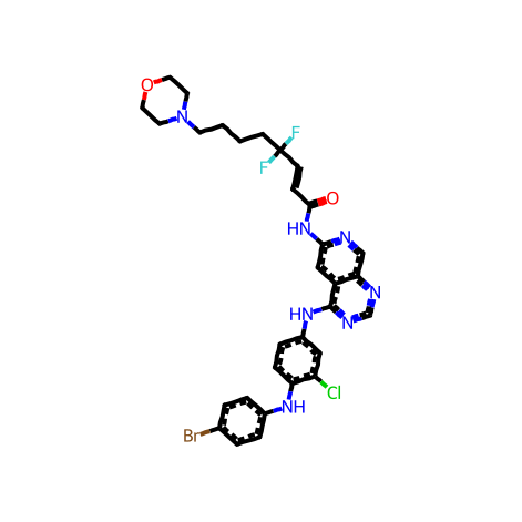 O=C(C=CC(F)(F)CCCCN1CCOCC1)Nc1cc2c(Nc3ccc(Nc4ccc(Br)cc4)c(Cl)c3)ncnc2cn1